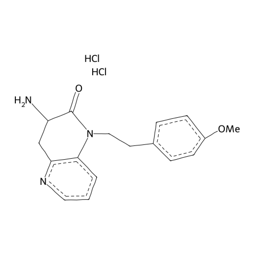 COc1ccc(CCN2C(=O)C(N)Cc3ncccc32)cc1.Cl.Cl